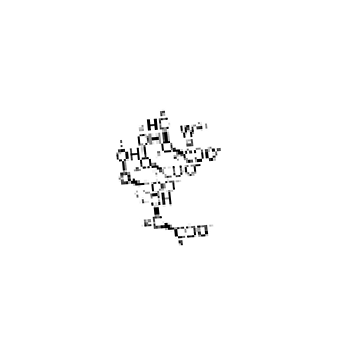 O=C([O-])OO.O=C([O-])OO.O=C([O-])OO.O=C([O-])OO.[W+4]